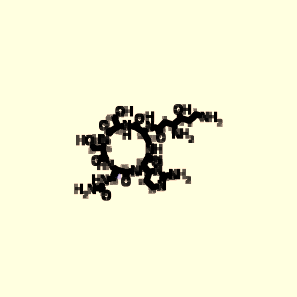 NCCC(O)C(N)CC(=O)NC1CNC(=O)C(C2CCN=C(N)N2)NC(=O)/C(=C/NC(N)=O)NC(=O)C(CO)NC(=O)C(CO)NC1=O